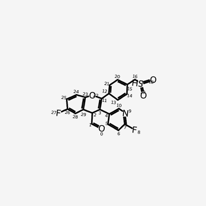 O=CC1C(c2ccc(F)nc2)=C(c2ccc(C[SH](=O)=O)cc2)Oc2ccc(F)cc21